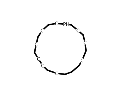 C1CCCCCCCCCPCCCCCCCCC1